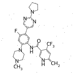 C=C1C=C(C(F)(F)F)C(C(=O)Nc2cc(-c3cnc(N4CCCC4)nc3)c(F)cc2N2CCN(C)CC2)=CN1